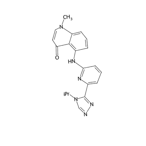 CC(C)n1cnnc1-c1cccc(Nc2cccc3c2c(=O)ccn3C)n1